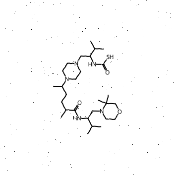 CC(CCC(C)N1CCN(CC(NC(=O)S)C(C)C)CC1)C(=O)N[C@@H](CN1CCOCC1(C)C)C(C)C